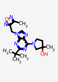 Cc1nonc1Cn1cnc2c(N3CCC(C)(O)C3)nc(C(C)(C)C)nc21